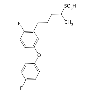 CC(CCCc1cc(Oc2ccc(F)cc2)ccc1F)S(=O)(=O)O